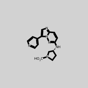 O=C(O)N1CC[C@@H](Nc2ccc3ncc(-c4ccncc4)n3n2)C1